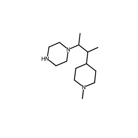 CC(C1CCN(C)CC1)C(C)N1CCNCC1